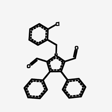 O=Cc1c(-c2ccccc2)c(-c2ccccc2)c(C=O)n1Cc1ccccc1Cl